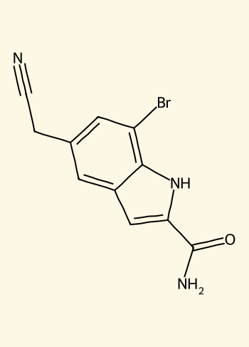 N#CCc1cc(Br)c2[nH]c(C(N)=O)cc2c1